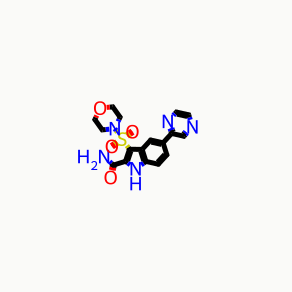 NC(=O)c1[nH]c2ccc(-c3cnccn3)cc2c1S(=O)(=O)N1CCOCC1